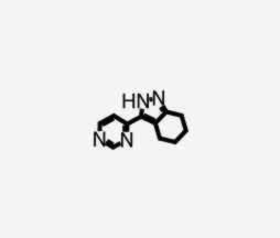 c1cc(-c2[nH]nc3c2CCCC3)ncn1